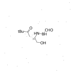 CC(C)(C)C(=O)C[C@@H](CO)NBC=O